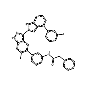 Cc1cc2[nH]nc(-c3cc4c(-c5cccc(F)c5)nccc4[nH]3)c2cc1-c1cncc(NC(=O)Cc2ccccc2)c1